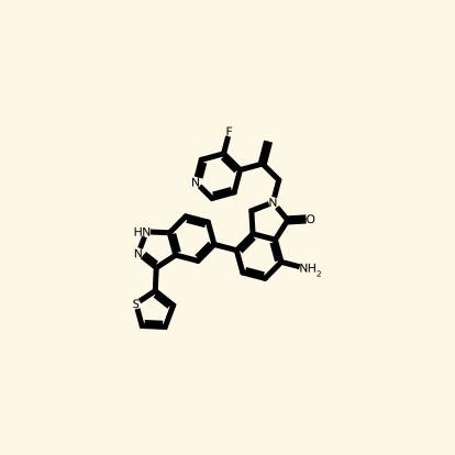 C=C(CN1Cc2c(-c3ccc4[nH]nc(-c5cccs5)c4c3)ccc(N)c2C1=O)c1ccncc1F